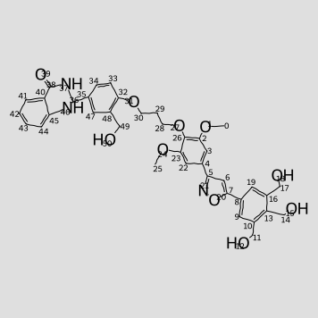 COc1cc(-c2cc(-c3cc(CO)c(CO)c(CO)c3)on2)cc(OC)c1OCCCOc1ccc(C2NC(=O)c3ccccc3N2)cc1CO